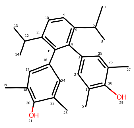 Cc1cc(-c2c(C(C)C)ccc(C(C)C)c2-c2cc(C)c(O)c(C)c2)cc(C)c1O